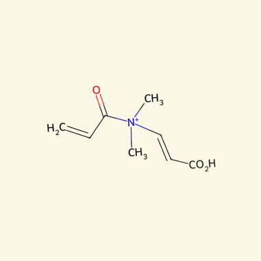 C=CC(=O)[N+](C)(C)C=CC(=O)O